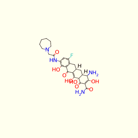 NC(=O)C1=C(O)[C@H](N)[C@@H]2C[C@@H]3Cc4c(F)cc(NC(=O)CN5CCCCCC5)c(O)c4C(=O)C3=C(O)[C@]2(O)C1=O